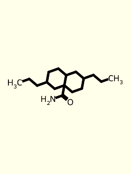 CCCC1CCC2(C(N)=O)CC(CCC)CCC2C1